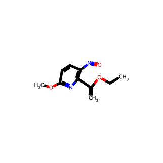 C=C(OCC)c1nc(OC)ccc1N=O